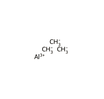 [Al+3].[CH3-].[CH3-].[CH3-]